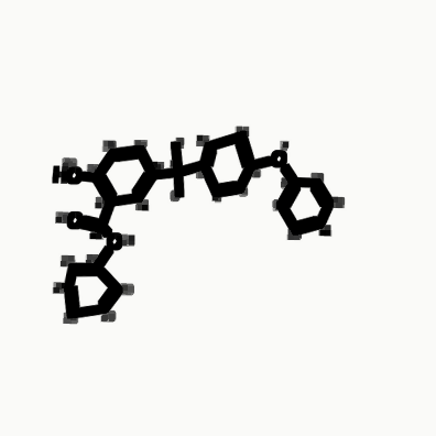 CC(C)(c1ccc(Oc2ccccc2)cc1)c1ccc(O)c(C(=O)Oc2ccccc2)c1